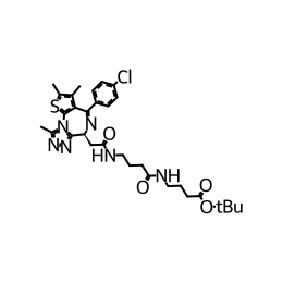 Cc1sc2c(c1C)C(c1ccc(Cl)cc1)=N[C@@H](CC(=O)NCCCC(=O)NCCCC(=O)OC(C)(C)C)c1nnc(C)n1-2